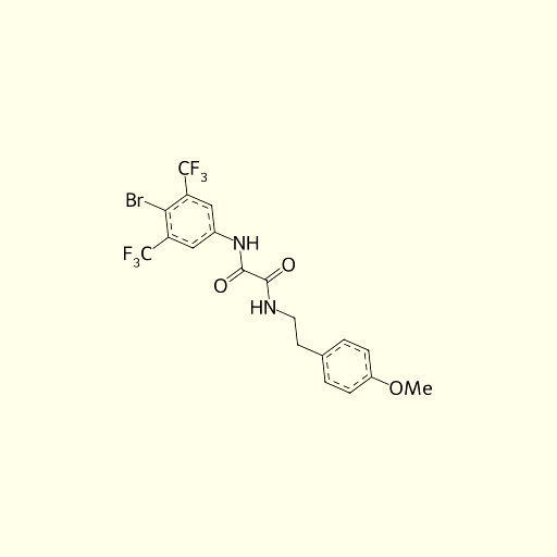 COc1ccc(CCNC(=O)C(=O)Nc2cc(C(F)(F)F)c(Br)c(C(F)(F)F)c2)cc1